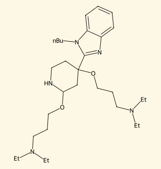 CCCCn1c(C2(OCCCN(CC)CC)CCNC(OCCCN(CC)CC)C2)nc2ccccc21